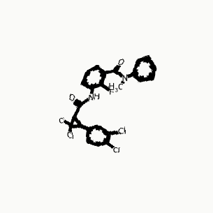 CN(C(=O)c1cccc(NC(=O)C2C(c3ccc(Cl)c(Cl)c3)C2(Cl)Cl)c1F)c1ccccc1